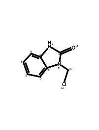 O=c1[nH]c2ccccc2n1CCl